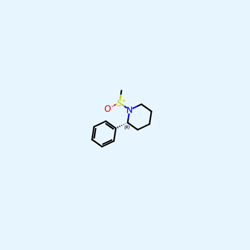 C[S+]([O-])N1CCCC[C@@H]1c1ccccc1